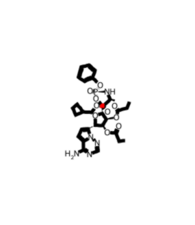 CCC(=O)O[C@@H]1[C@H](OC(=O)CC)[C@@H](CO[P@@](=O)(N[C@@H](C)C(=O)OCC2CCC2)Oc2ccccc2)O[C@H]1c1ccc2c(N)ncnn12